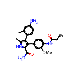 COc1cc(-c2c(C(N)=O)[nH]c(C)c2-c2ccc(N)cc2C)ccc1NC(=O)CC(C)C